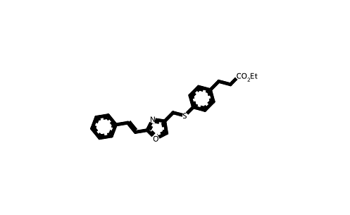 CCOC(=O)CCc1ccc(SCc2coc(C=Cc3ccccc3)n2)cc1